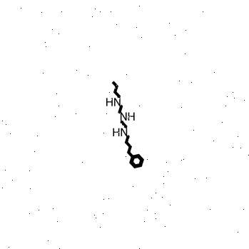 CCCCNCCNCCNCCCCc1ccccc1